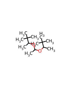 C[C](OC(C)C(C)(C)C)OC(C)C(C)(C)C